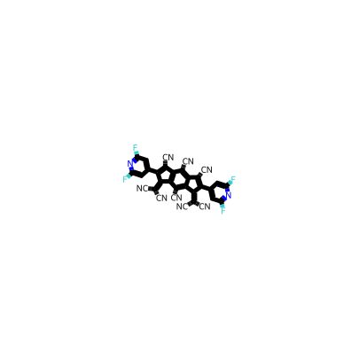 N#CC(C#N)=C1C(c2cc(F)nc(F)c2)=C(C#N)c2c(C#N)c3c(c(C#N)c21)C(=C(C#N)C#N)C(c1cc(F)nc(F)c1)=C3C#N